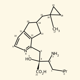 CC(C)CC(N)[C@](O)(Cc1nccc2c1CC(CC1(C)CC1)C2)C(=O)O